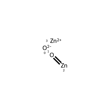 [O-2].[O]=[Zn].[Zn+2]